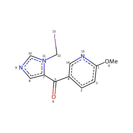 COc1ccc(C(=O)c2cncn2CI)cn1